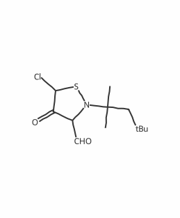 CC(C)(C)CC(C)(C)N1SC(Cl)C(=O)C1C=O